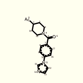 CC(=O)C1CCN(C(=O)c2ccc(-n3ccnc3)cc2)CC1